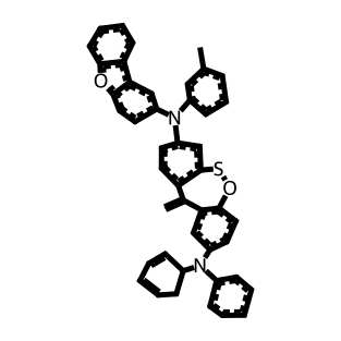 C=C1c2cc(N(c3ccccc3)C3C=CC=CC3)ccc2OSc2cc(N(c3cccc(C)c3)c3ccc4oc5ccccc5c4c3)ccc21